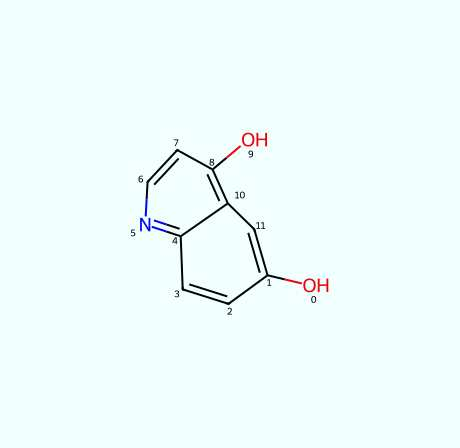 Oc1ccc2nccc(O)c2c1